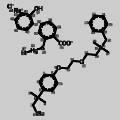 CC(C)(C)CC(C)(C)c1ccc(OCCOCC[N+](C)(C)Cc2ccccc2)cc1.C[CH2][Hg][S]c1ccccc1C(=O)[O-].Oc1ccccc1.[Cl-].[Na+]